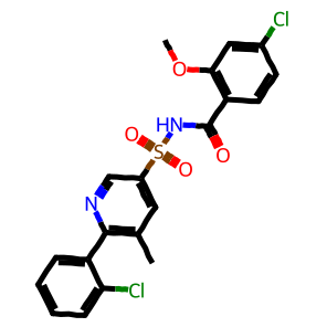 COc1cc(Cl)ccc1C(=O)NS(=O)(=O)c1cnc(-c2ccccc2Cl)c(C)c1